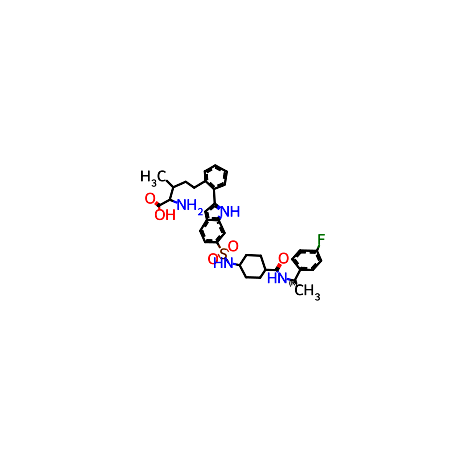 CC(CCc1ccccc1-c1cc2ccc(S(=O)(=O)NC3CCC(C(=O)N[C@H](C)c4ccc(F)cc4)CC3)cc2[nH]1)C(N)C(=O)O